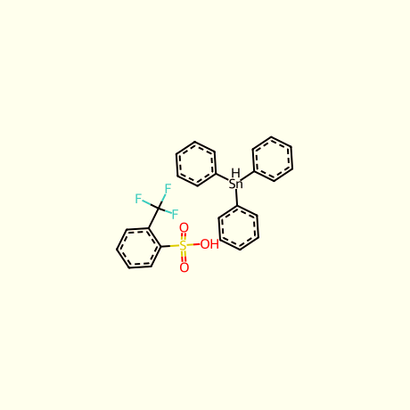 O=S(=O)(O)c1ccccc1C(F)(F)F.c1cc[c]([SnH]([c]2ccccc2)[c]2ccccc2)cc1